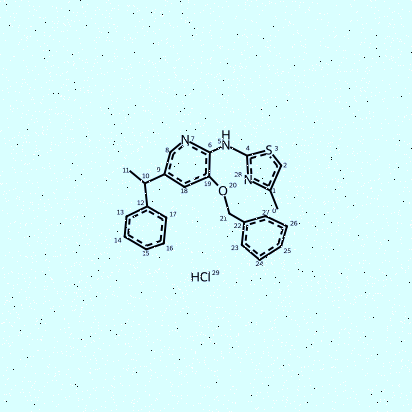 Cc1csc(Nc2ncc(C(C)c3ccccc3)cc2OCc2ccccc2)n1.Cl